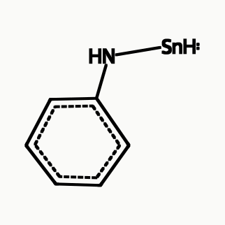 [SnH][NH]c1ccccc1